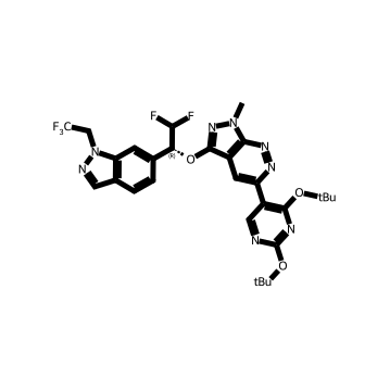 Cn1nc(O[C@H](c2ccc3cnn(CC(F)(F)F)c3c2)C(F)F)c2cc(-c3cnc(OC(C)(C)C)nc3OC(C)(C)C)nnc21